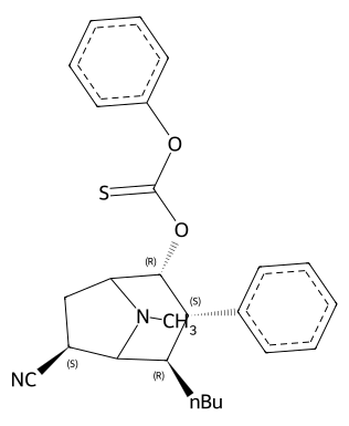 CCCC[C@H]1C2[C@@H](C#N)CC([C@H](OC(=S)Oc3ccccc3)[C@@H]1c1ccccc1)N2C